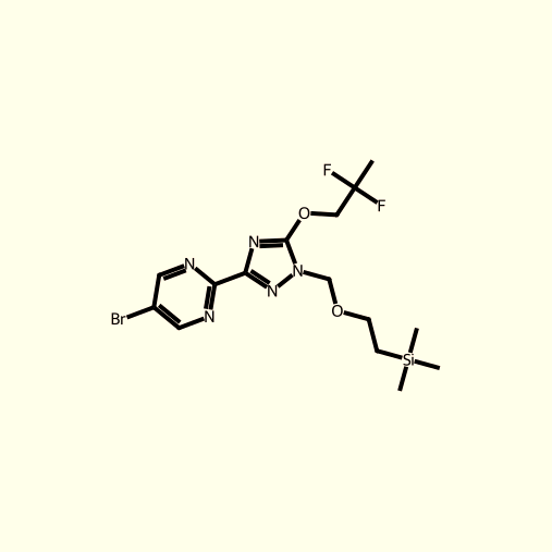 CC(F)(F)COc1nc(-c2ncc(Br)cn2)nn1COCC[Si](C)(C)C